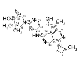 C[C@@H]1CCN1c1ncc([C@@H](C)CO)c2cc(Nc3ccnc(N4C[C@H](F)[C@H](O)C(C)(C)C4)n3)ncc12